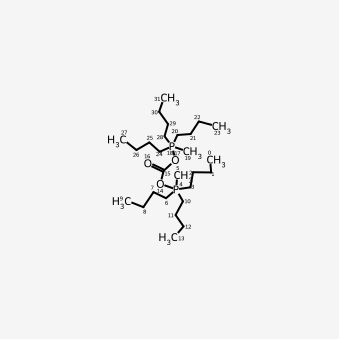 CCCCP(C)(CCCC)(CCCC)OC(=O)OP(C)(CCCC)(CCCC)CCCC